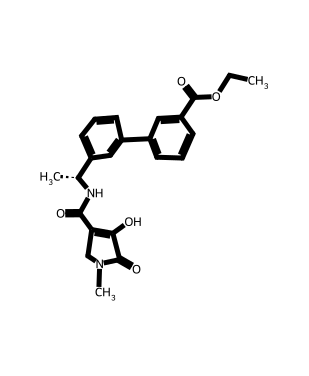 CCOC(=O)c1cccc(-c2cccc([C@@H](C)NC(=O)C3=C(O)C(=O)N(C)C3)c2)c1